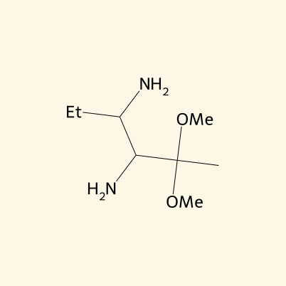 CCC(N)C(N)C(C)(OC)OC